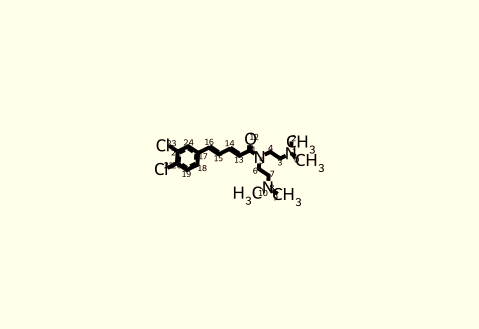 CN(C)CCN(CCN(C)C)C(=O)C=CC=Cc1ccc(Cl)c(Cl)c1